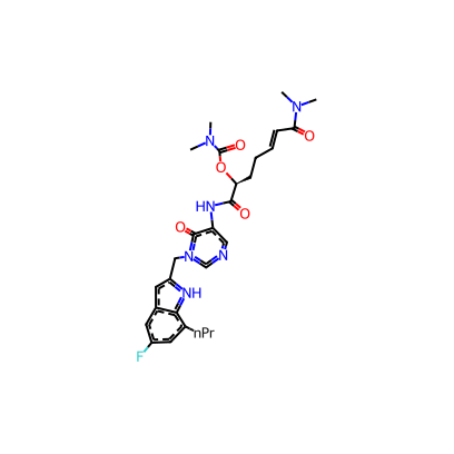 CCCc1cc(F)cc2cc(Cn3cncc(NC(=O)[C@H](CC/C=C/C(=O)N(C)C)OC(=O)N(C)C)c3=O)[nH]c12